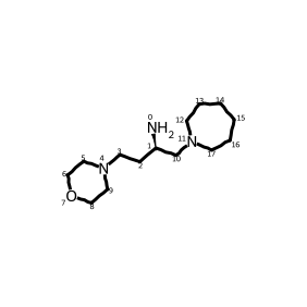 N[C@H](CCN1CCOCC1)CN1CCCCCC1